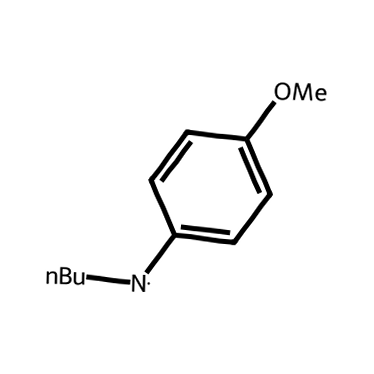 CCCC[N]c1ccc(OC)cc1